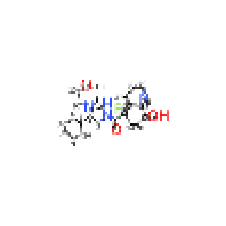 O=C(NCC(c1ccccc1)N1CCOCC1)[C@]1(F)CC[C@H](O)c2ncccc21